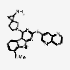 CNc1cccc2c1[nH]c1nc(Sc3cnc4cccnc4c3)nc(N3CCC4(CC4N)C3)c12